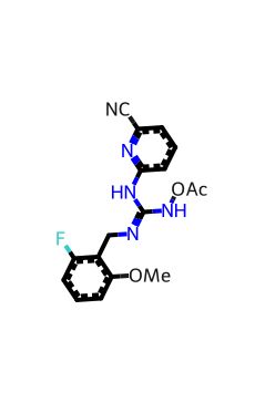 COc1cccc(F)c1CN=C(NOC(C)=O)Nc1cccc(C#N)n1